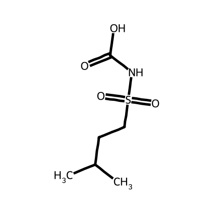 CC(C)CCS(=O)(=O)NC(=O)O